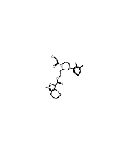 Cc1cccc(N2CCN(C(=O)CCl)C(CCOC(=O)c3n[nH]c4c3CCCCC4)C2)c1C